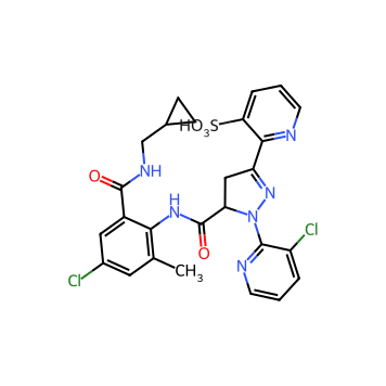 Cc1cc(Cl)cc(C(=O)NCC2CC2)c1NC(=O)C1CC(c2ncccc2S(=O)(=O)O)=NN1c1ncccc1Cl